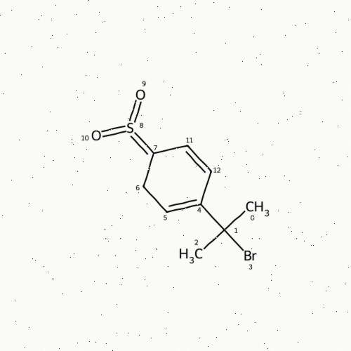 CC(C)(Br)C1=CCC(=S(=O)=O)C=C1